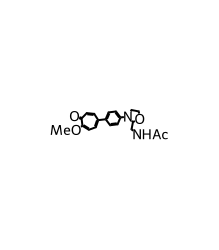 COc1ccc(-c2ccc(N3CCOC3CNC(C)=O)cc2)ccc1=O